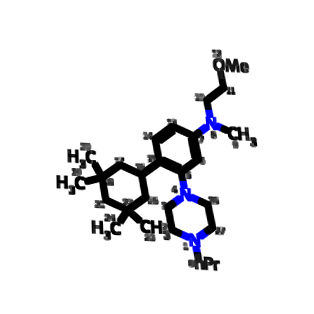 CCCN1CCN(c2cc(N(C)CCOC)ccc2C2CC(C)(C)CC(C)(C)C2)CC1